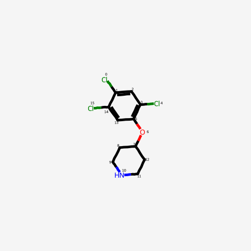 Clc1cc(Cl)c(OC2CCNCC2)cc1Cl